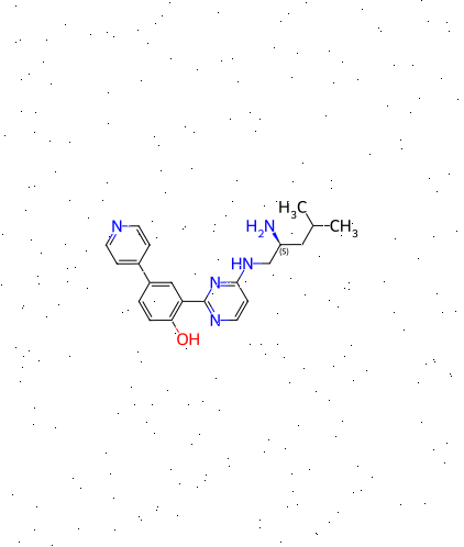 CC(C)C[C@H](N)CNc1ccnc(-c2cc(-c3ccncc3)ccc2O)n1